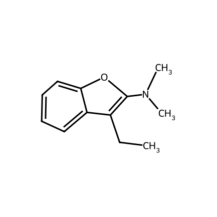 CCc1c(N(C)C)oc2ccccc12